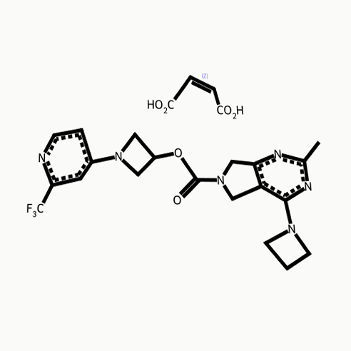 Cc1nc2c(c(N3CCC3)n1)CN(C(=O)OC1CN(c3ccnc(C(F)(F)F)c3)C1)C2.O=C(O)/C=C\C(=O)O